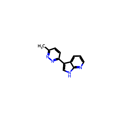 Cc1ccc(-c2c[nH]c3ncccc23)nn1